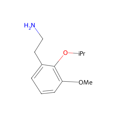 COc1cccc(CCN)c1OC(C)C